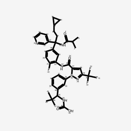 CC(C)C(=O)NC(CCC1CC1)(c1cccnc1)c1ccc(F)c(NC(=O)c2cc(C(F)(F)F)nn2-c2cccc(C(NC(=O)O)C(C)(C)C)c2)c1